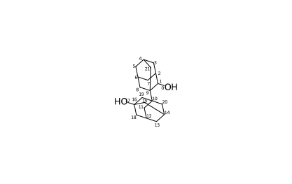 OC1C2CC3CC(C2)CC1(C12CC4CC(CC(O)(C4)C1)C2)C3